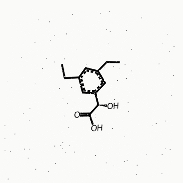 CCc1cc(CC)cc([C@@H](O)C(=O)O)c1